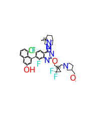 COCC1CCN(C[C@@]2(COc3nc(N4CC5CC[C@@](C)(C4)N5)c4cc(F)c(-c5cc(O)cc6cccc(Cl)c56)c(F)c4n3)CC2(F)F)C1